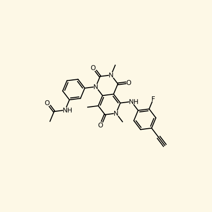 C#Cc1ccc(Nc2c3c(=O)n(C)c(=O)n(-c4cccc(NC(C)=O)c4)c3c(C)c(=O)n2C)c(F)c1